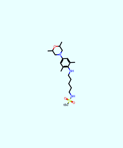 Cc1cc(N2CC(C)OC(C)C2)cc(C)c1NCCCCCNS(=O)(=O)C(C)(C)C